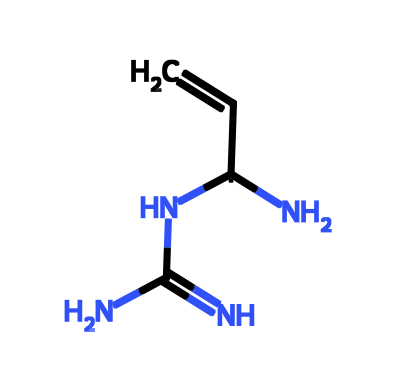 C=C[C](N)NC(=N)N